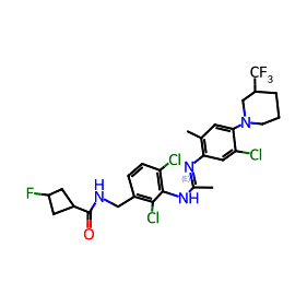 C/C(=N\c1cc(Cl)c(N2CCCC(C(F)(F)F)C2)cc1C)Nc1c(Cl)ccc(CNC(=O)C2CC(F)C2)c1Cl